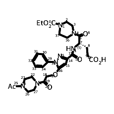 CCOC(=O)N1CCN(C(=O)[C@H](CCC(=O)O)NC(=O)c2cc(OCC(=O)N3CCN(C(C)=O)CC3)n(-c3ccccc3)n2)CC1